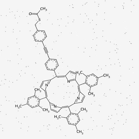 CC(=O)SCc1ccc(C#Cc2ccc(C3=C4C=CC(=N4)C(c4c(C)cc(C)cc4C)=C4C=CC(=N4)C(c4c(C)cc(C)cc4C)=C4C=CC(=N4)C(c4c(C)cc(C)cc4C)=C4C=CC3=N4)cc2)cc1